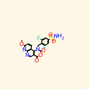 COc1ccc2c(ncc3c(=O)oc(=O)n(Cc4c(F)cc(S(N)(=O)=O)cc4F)c32)n1